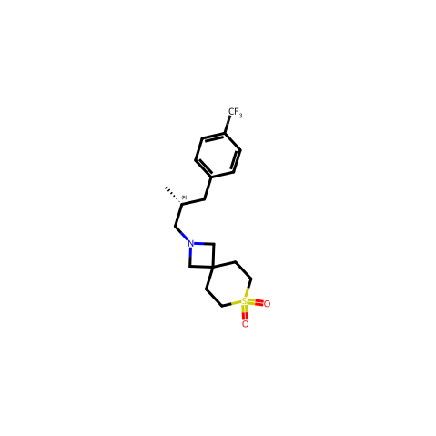 C[C@H](Cc1ccc(C(F)(F)F)cc1)CN1CC2(CCS(=O)(=O)CC2)C1